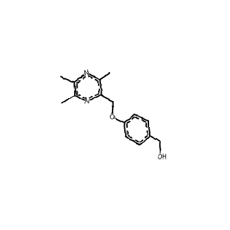 Cc1nc(C)c(COc2ccc(CO)cc2)nc1C